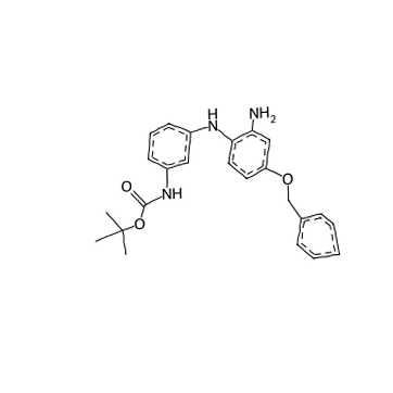 CC(C)(C)OC(=O)Nc1cccc(Nc2ccc(OCc3ccccc3)cc2N)c1